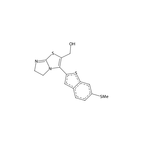 CSc1ccc2cc(C3=C(CO)SC4=NCCN43)sc2c1